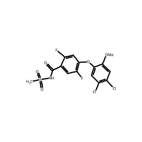 COc1cc(Cl)c(Cl)cc1Oc1cc(F)c(C(=O)NS(C)(=O)=O)cc1F